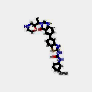 COc1cccc(NC(=O)Nc2nc3cc(-c4ccc5ncn(C(C)C6CNCCO6)c(=O)c5c4)ccc3s2)c1